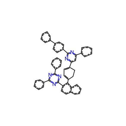 C1=C(c2cc(-c3ccccc3)nc(-c3ccc(-c4ccccc4)cc3)n2)CCC(c2c(-c3nc(-c4ccccc4)nc(-c4ccccc4)n3)ccc3ccccc23)=C1